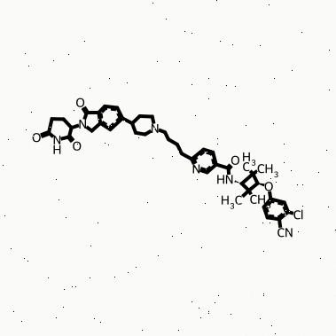 CC1(C)[C@H](NC(=O)c2ccc(CCCCN3CCC(c4ccc5c(c4)CN(C4CCC(=O)NC4=O)C5=O)CC3)nc2)C(C)(C)[C@H]1Oc1ccc(C#N)c(Cl)c1